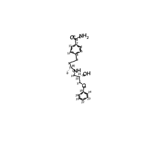 C[C@H](CCc1ccc(C(N)=O)cc1)NC[C@H](O)COc1ccccc1